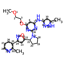 COCCOc1cc(Nc2cc(C)[nH]n2)nc(N2CCCC2c2cc(-c3cccnc3C)no2)n1